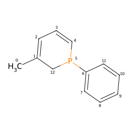 CC1=CC=CP(c2ccccc2)C1